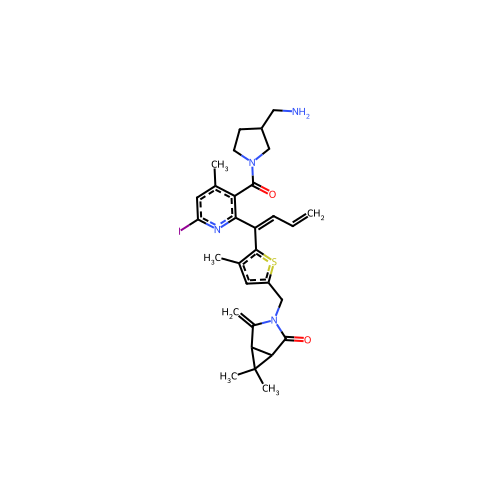 C=C/C=C(/c1nc(I)cc(C)c1C(=O)N1CCC(CN)C1)c1sc(CN2C(=C)C3C(C2=O)C3(C)C)cc1C